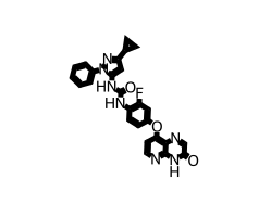 O=C(Nc1ccc(Oc2ccnc3[nH]c(=O)cnc23)cc1F)Nc1cc(C2CC2)nn1-c1ccccc1